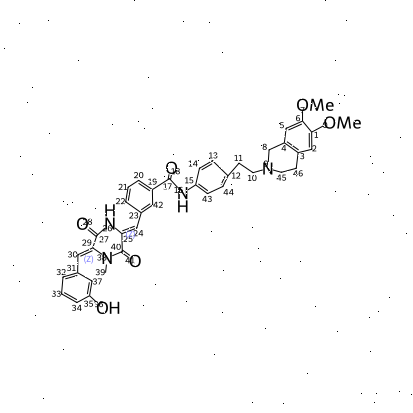 COc1cc2c(cc1OC)CN(CCc1ccc(NC(=O)c3cccc(/C=c4\[nH]c(=O)/c(=C/c5cccc(O)c5)n(C)c4=O)c3)cc1)CC2